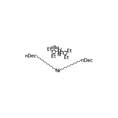 CCCCC1=C(c2cc(CC)cc(CC)c2)[N+](=[N-])C(c2cc(CC)cc(CC)c2)=C1C.CCCCCCCCCCCCCCCCCCCCCCC[CH2][Ni][CH2]CCCCCCCCCCCCCCCCCCCCCCC